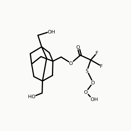 O=C(OCC12CC3CC(CO)(CC(CO)(C3)C1)C2)C(F)(F)SOOO